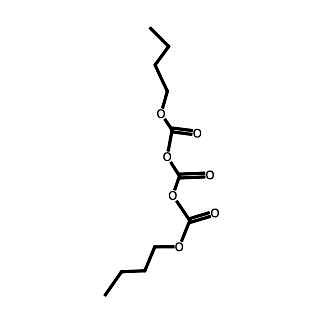 CCCCOC(=O)OC(=O)OC(=O)OCCCC